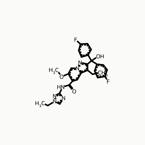 CCc1c(C(O)(c2ccc(F)cc2)c2ccc(F)cc2)nn2cc(OC)c(C(=O)Nc3ncn(CC)n3)cc12